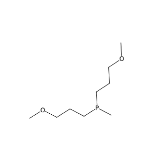 COCCCP(C)CCCOC